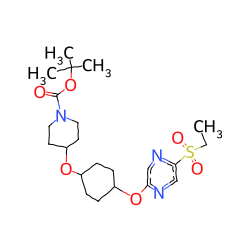 CCS(=O)(=O)c1cnc(OC2CCC(OC3CCN(C(=O)OC(C)(C)C)CC3)CC2)cn1